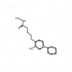 O=C(CCCOc1ccc(-c2ccccc2)cc1O)NO